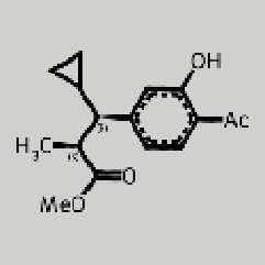 COC(=O)[C@@H](C)[C@H](c1ccc(C(C)=O)c(O)c1)C1CC1